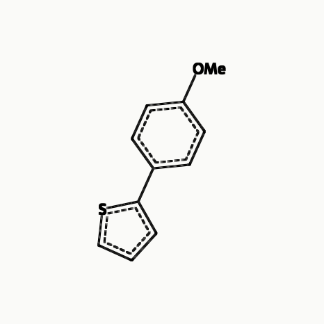 COc1ccc(-c2cccs2)cc1